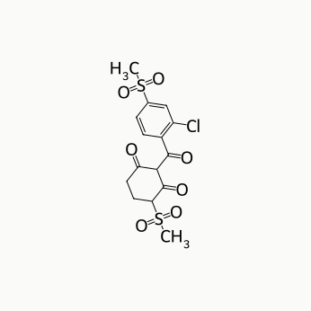 CS(=O)(=O)c1ccc(C(=O)C2C(=O)CCC(S(C)(=O)=O)C2=O)c(Cl)c1